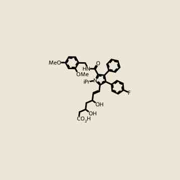 COc1ccc(CNC(=O)c2c(-c3ccccc3)c(-c3ccc(F)cc3)c(C=CC(O)CC(O)CC(=O)O)n2C(C)C)c(OC)c1